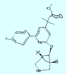 COC(=O)C(C)(C)c1cc(O[C@H]2[C@@H]3CNC[C@@H]32)nc(-c2ccc(F)cc2)c1